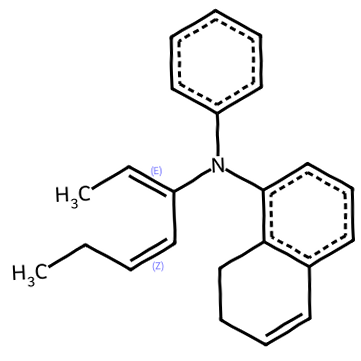 C/C=C(\C=C/CC)N(c1ccccc1)c1cccc2c1CCC=C2